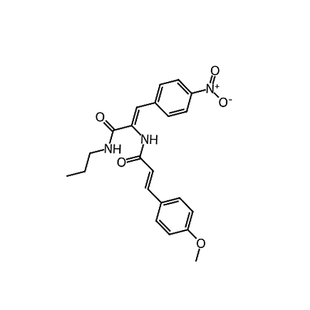 CCCNC(=O)/C(=C/c1ccc([N+](=O)[O-])cc1)NC(=O)/C=C/c1ccc(OC)cc1